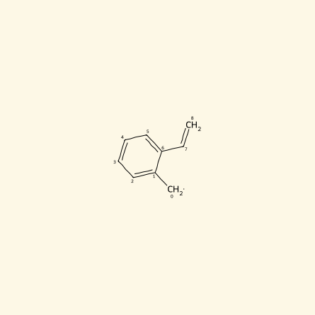 [CH2]c1ccccc1C=C